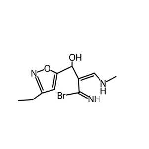 CCc1cc(C(O)/C(=C/NC)C(=N)Br)on1